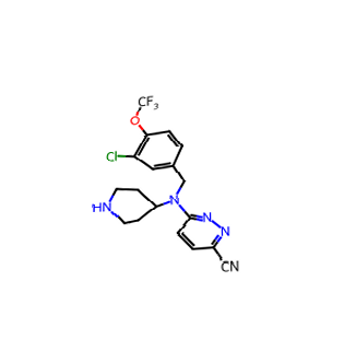 N#Cc1ccc(N(Cc2ccc(OC(F)(F)F)c(Cl)c2)C2CCNCC2)nn1